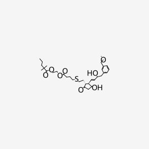 CCCC(C)(C)C(=O)OCCOC(=O)CCCSCC[C@H]1C(=O)C[C@@H](O)[C@@H]1C=C[C@@H](O)Cc1cccc(COC)c1